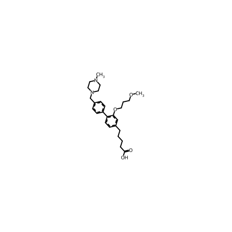 COCCCOc1cc(CCCCC(=O)O)ccc1-c1ccc(CN2CCN(C)CC2)cc1